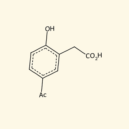 CC(=O)c1ccc(O)c(CC(=O)O)c1